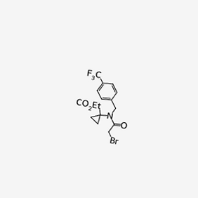 CCOC(=O)C1(N(Cc2ccc(C(F)(F)F)cc2)C(=O)CBr)CC1